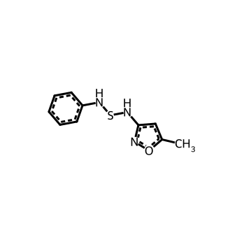 Cc1cc(NSNc2ccccc2)no1